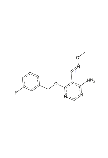 CO/N=C/c1c(N)ncnc1OCc1cccc(F)c1